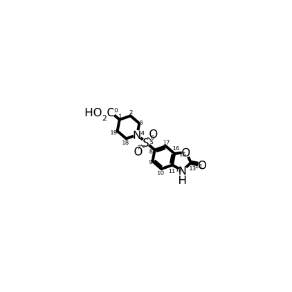 O=C(O)C1CCN(S(=O)(=O)c2ccc3[nH]c(=O)oc3c2)CC1